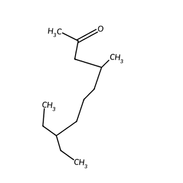 CCC(CC)CCCC(C)CC(C)=O